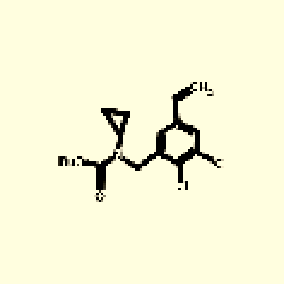 C=Cc1cc(Cl)c(Cl)c(CN(C(=O)OCC(C)C)C2CC2)c1